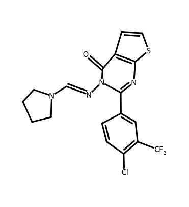 O=c1c2ccsc2nc(-c2ccc(Cl)c(C(F)(F)F)c2)n1N=CN1CCCC1